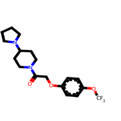 O=C(COc1ccc(OC(F)(F)F)cc1)N1CCC(N2CCCC2)CC1